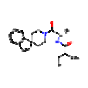 CC[C@H](C)[C@H](NC(=O)C(CC(C)C)NC(C)=O)C(=O)N1CCC2(C=Cc3ccccc32)CC1